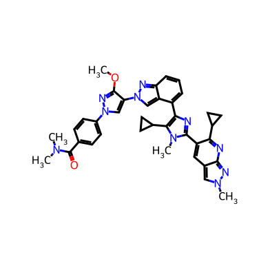 COc1nn(-c2ccc(C(=O)N(C)C)cc2)cc1-n1cc2c(-c3nc(-c4cc5cn(C)nc5nc4C4CC4)n(C)c3C3CC3)cccc2n1